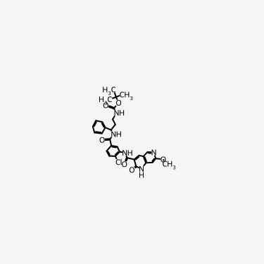 COc1cc2[nH]c(=O)c(C(=O)Nc3cc(C(=O)NC(CCNC(=O)OC(C)(C)C)c4ccccc4)ccc3Cl)cc2cn1